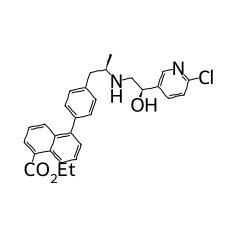 CCOC(=O)c1cccc2c(-c3ccc(C[C@@H](C)NC[C@H](O)c4ccc(Cl)nc4)cc3)cccc12